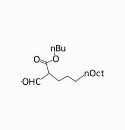 CCCCCCCCCCCC([C]=O)C(=O)OCCCC